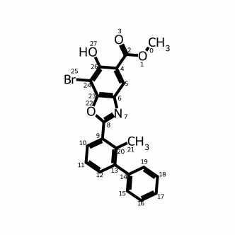 COC(=O)c1cc2nc(-c3cccc(-c4ccccc4)c3C)oc2c(Br)c1O